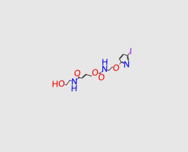 O=C(/C=C/COC(=O)NCCOc1ccc(I)cn1)NCCO